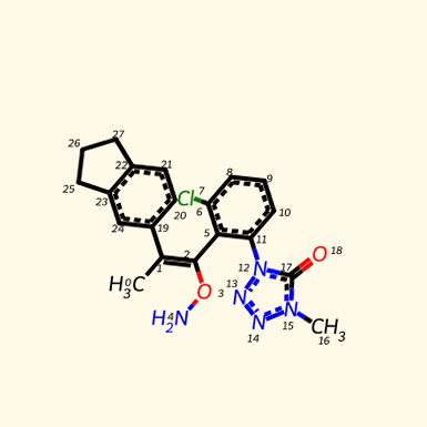 C/C(=C(\ON)c1c(Cl)cccc1-n1nnn(C)c1=O)c1ccc2c(c1)CCC2